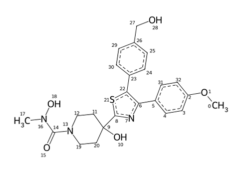 COc1ccc(-c2nc(C3(O)CCN(C(=O)N(C)O)CC3)sc2-c2ccc(CO)cc2)cc1